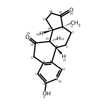 C[C@]12CC[C@@H]3C4=C(C=C(O)I=C4)CC(=O)[C@H]3[C@@H]1CCC2=O